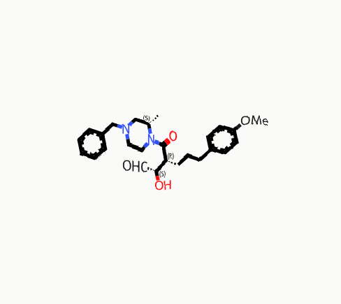 COc1ccc(CCC[C@@H](C(=O)N2CCN(Cc3ccccc3)C[C@@H]2C)[C@H](O)C=O)cc1